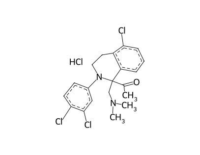 CC(=O)C1(CN(C)C)c2cccc(Cl)c2CCN1c1ccc(Cl)c(Cl)c1.Cl